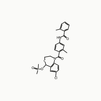 Cc1ccccc1C(=O)Nc1ccc(C(=O)N2CCCC(OP(C)(C)=O)c3cc(Cl)ccc32)c(C)c1